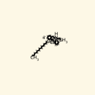 CCCCCCCCCCCCCCOc1cccc(CC(=O)NC(CC)[n+]2ccccc2)c1OC.[I-]